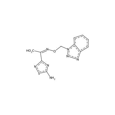 Nc1nc(C(=NOCn2nnc3ccccc32)C(=O)O)ns1